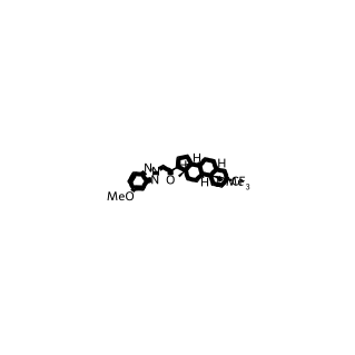 COC[C@]12CC[C@H](C(F)(F)F)C[C@H]1CC[C@H]1[C@@H]3CC[C@H](C(=O)Cn4nc5ccc(OC)cc5n4)[C@@]3(C)CC[C@@H]12